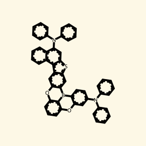 c1ccc(N(c2ccccc2)c2ccc3c(c2)Oc2cccc4c2B3c2cc3sc5cc(N(c6ccccc6)c6ccccc6)c6ccccc6c5c3cc2O4)cc1